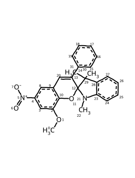 COc1cc([N+](=O)[O-])cc2c1OC1(C(c3ccccc3)=C2)N(C)c2ccccc2C1(C)C